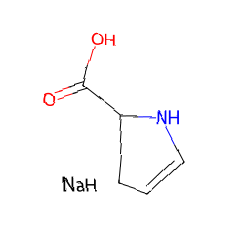 O=C(O)C1CC=CN1.[NaH]